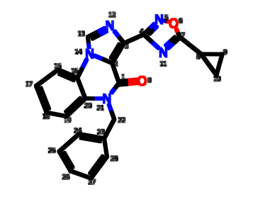 O=c1c2c(-c3noc(C4CC4)n3)ncn2c2ccccc2n1Cc1ccccc1